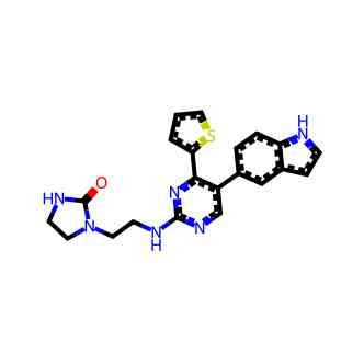 O=C1NCCN1CCNc1ncc(-c2ccc3[nH]ccc3c2)c(-c2cccs2)n1